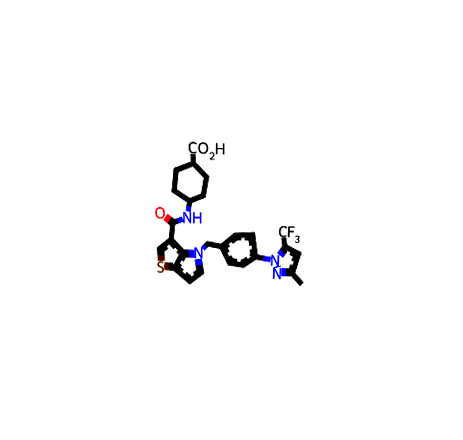 Cc1cc(C(F)(F)F)n(-c2ccc(Cn3ccc4scc(C(=O)NC5CCC(C(=O)O)CC5)c43)cc2)n1